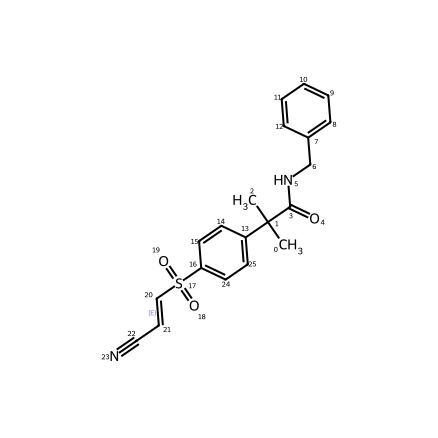 CC(C)(C(=O)NCc1ccccc1)c1ccc(S(=O)(=O)/C=C/C#N)cc1